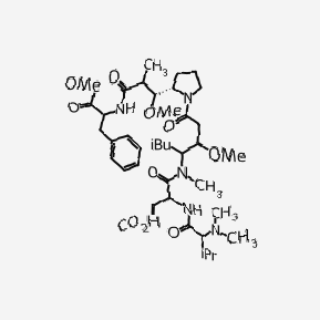 CCC(C)C(C(CC(=O)N1CCC[C@H]1C(OC)C(C)C(=O)NC(Cc1ccccc1)C(=O)OC)OC)N(C)C(=O)C(CC(=O)O)NC(=O)C(C(C)C)N(C)C